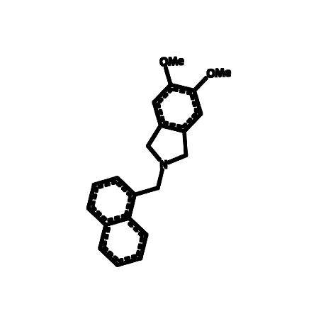 COc1cc2c(cc1OC)CN(Cc1cccc3ccccc13)C2